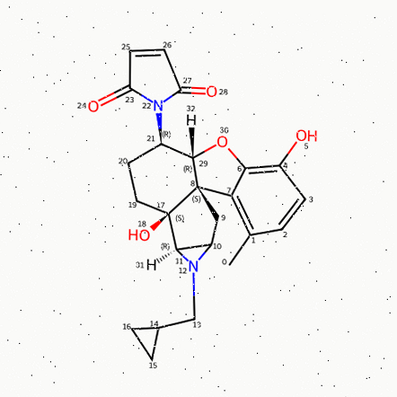 Cc1ccc(O)c2c1[C@]13CC4[C@@H](N4CC4CC4)[C@]1(O)CC[C@@H](N1C(=O)C=CC1=O)[C@@H]3O2